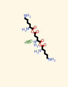 Cl.Cl.NCCCC[C@H](N)C(=O)OC(=O)CC[C@H](N)C(=O)OC(=O)[C@@H](N)CCCCN